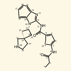 CCC(=O)Nc1ccc(C(=O)Nc2nc3ccccc3n2[C@H]2C[C@@]3(CCNC3)C2)s1